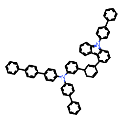 C1=CC(c2cccc3c2c2ccccc2n3-c2ccc(-c3ccccc3)cc2)=CC(c2cccc(N(c3ccc(-c4ccccc4)cc3)c3ccc(-c4ccc(-c5ccccc5)cc4)cc3)c2)C1